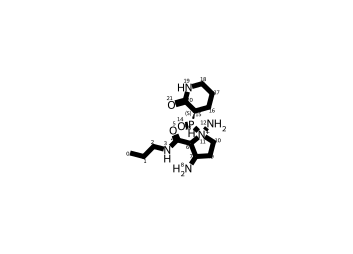 CCCNC(=O)C1C(N)CC[N+]1(N)[PH](=O)[C@H]1CCCNC1=O